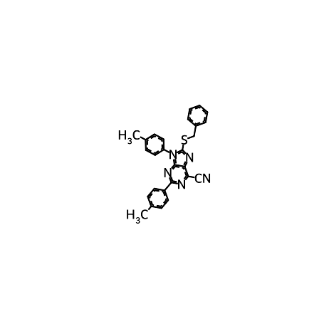 Cc1ccc(-c2nc(C#N)c3nc(SCc4ccccc4)n(-c4ccc(C)cc4)c3n2)cc1